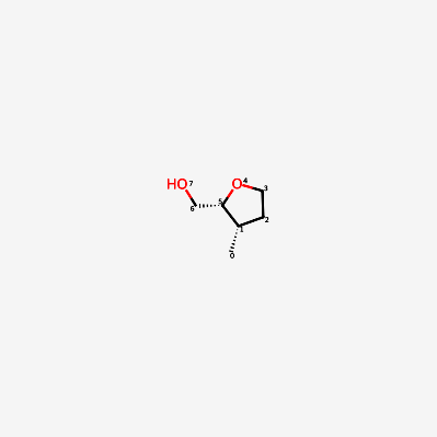 C[C@H]1CCO[C@H]1CO